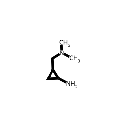 CN(C)CC1CC1N